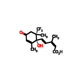 CC1=CC(=O)C[C@](C)(C(F)(F)F)[C@@]1(O)/C=C/C(C)=C\C(=O)O